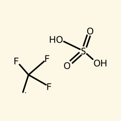 O=S(=O)(O)O.[CH2]C(F)(F)F